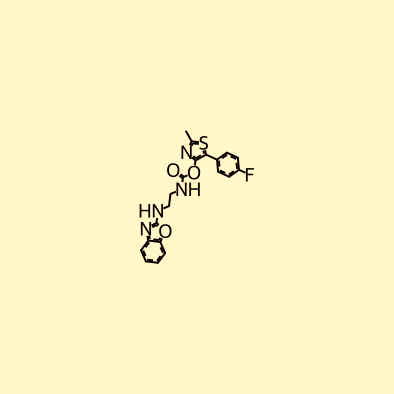 Cc1nc(OC(=O)NCCNc2nc3ccccc3o2)c(-c2ccc(F)cc2)s1